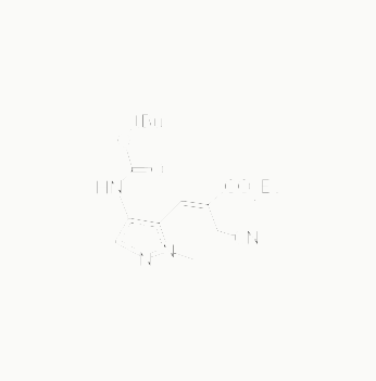 CCOC(=O)/C(=C/c1c(NC(=O)OC(C)(C)C)cnn1C)CC#N